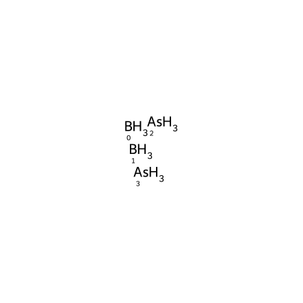 B.B.[AsH3].[AsH3]